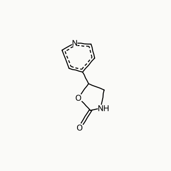 O=C1NCC(c2ccncc2)O1